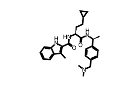 Cc1c(C(=O)N[C@@H](CCC2CC2)C(=O)N[C@@H](C)c2ccc(CN(C)C)cc2)[nH]c2ccccc12